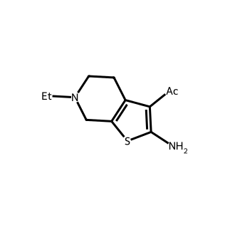 CCN1CCc2c(sc(N)c2C(C)=O)C1